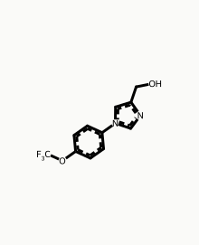 OCc1cn(-c2ccc(OC(F)(F)F)cc2)cn1